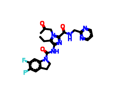 CCc1c(NC(=O)N2CCc3cc(F)c(F)cc32)nc(C(=O)NCc2ncccn2)n1CC(C)=O